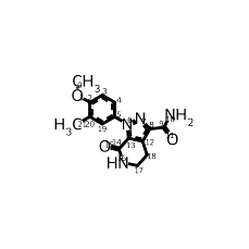 COc1ccc(-n2nc(C(N)=O)c3c2C(=O)NCC3)cc1C